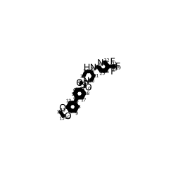 O=S(=O)(c1ccc(-c2ccc3c(c2)OCCO3)cc1)N1CCC(Nc2ccc(C(F)(F)F)cn2)CC1